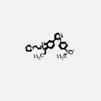 CCc1c2ccc(-c3ccnn3-c3ccc([S+](C)[O-])cc3)cc2nn1CCN1CCCC1